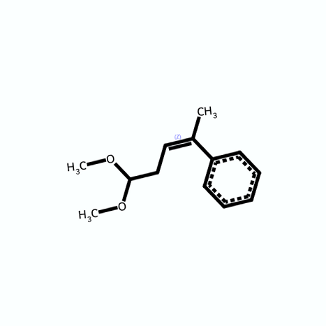 COC(C/C=C(/C)c1ccccc1)OC